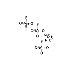 [NH4+].[NH4+].[NH4+].[O]=[Mn](=[O])([O-])[F].[O]=[Mn](=[O])([O-])[F].[O]=[Mn](=[O])([O-])[F]